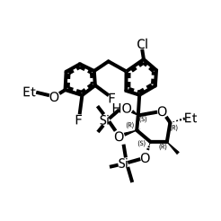 CCOc1ccc(Cc2cc([C@]3(O)O[C@H](CC)[C@@H](C)[C@H](O[Si](C)(C)C)[C@H]3O[Si](C)(C)C)ccc2Cl)c(F)c1F